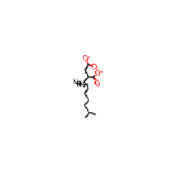 CC(C)CCCCCC(CC(=O)[O-])C(=O)[O-].[Na+].[Na+]